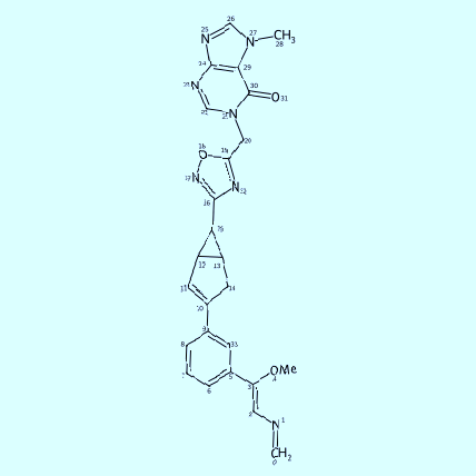 C=N/C=C(\OC)c1cccc(C2=CC3C(C2)C3c2noc(Cn3cnc4ncn(C)c4c3=O)n2)c1